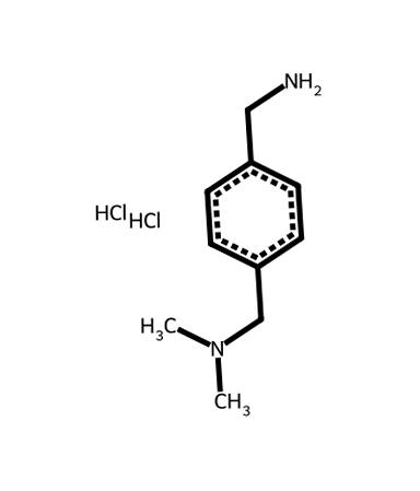 CN(C)Cc1ccc(CN)cc1.Cl.Cl